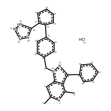 Cc1cc2c(c(C)n1)c(-c1ccccc1)nn2Cc1ccc(-c2ccccc2-c2nnn[nH]2)cc1.Cl